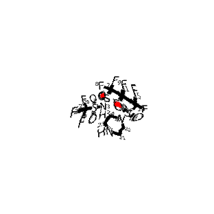 O=S(=O)(NS(=O)(=O)C(F)(F)C(F)(F)C(F)(F)S(=O)(=O)N1CCNCC1)C(F)(F)F